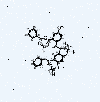 [2H]C1([2H])Cc2cc(OC([2H])([2H])[2H])c(OCc3ccccc3)cc2C(Cc2ccc(OC)cc2C(OCc2ccccc2)OC(C)=O)N1